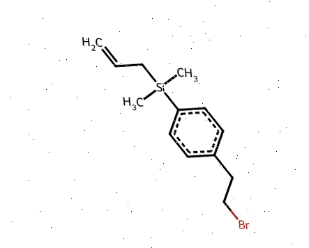 C=CC[Si](C)(C)c1ccc(CCBr)cc1